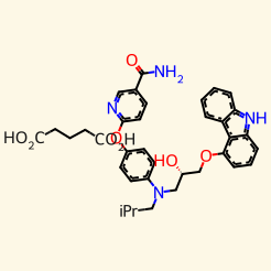 CC(C)CN(C[C@H](O)COc1cccc2[nH]c3ccccc3c12)c1ccc(Oc2ccc(C(N)=O)cn2)cc1.O=C(O)CCCC(=O)O